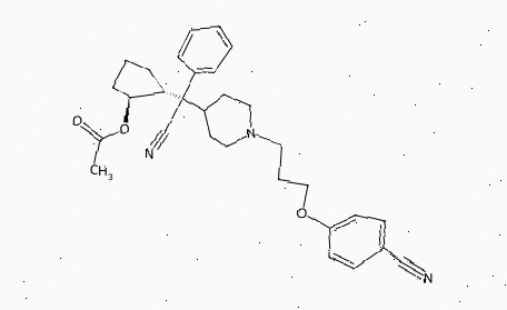 CC(=O)O[C@H]1CCC[C@@H]1C(C#N)(c1ccccc1)C1CCN(CCCOc2ccc(C#N)cc2)CC1